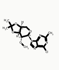 CO[C@@H]1[C@H]2OC(C)(C)O[C@H]2CO[C@H]1n1cnc2c(Cl)nc(C)nc21